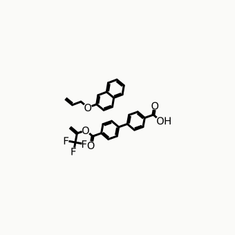 C=C(OC(=O)c1ccc(-c2ccc(C(=O)O)cc2)cc1)C(F)(F)F.C=CCOc1ccc2ccccc2c1